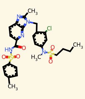 CCCCS(=O)(=O)N(C)c1ccc(Cn2c(C)nc3ccc(C(=O)NS(=O)(=O)c4ccc(C)cc4)nc32)c(Cl)c1